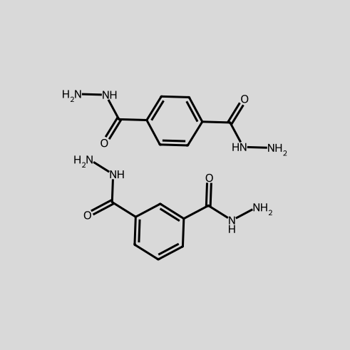 NNC(=O)c1ccc(C(=O)NN)cc1.NNC(=O)c1cccc(C(=O)NN)c1